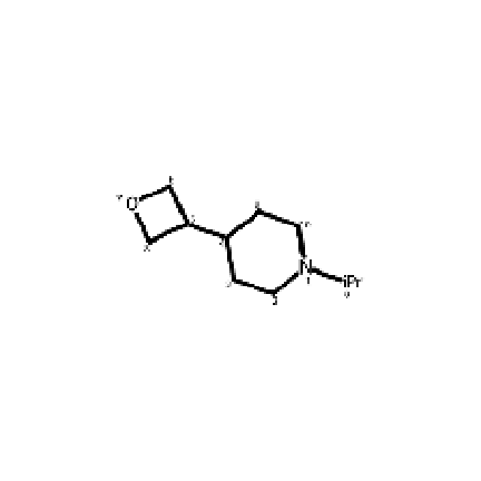 CC(C)N1CCC(C2COC2)CC1